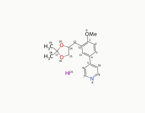 COc1ccc(-c2ccncc2)cc1CC1COC(C)(C)O1.I